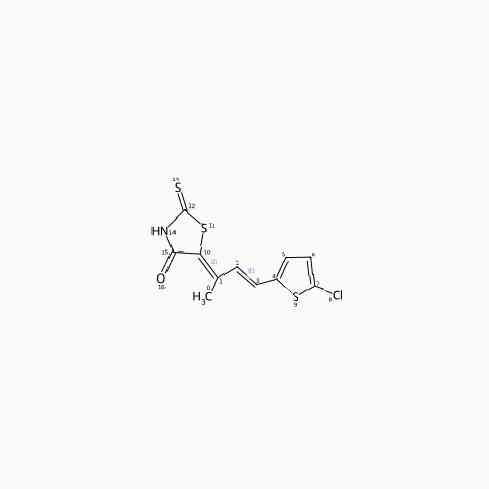 CC(/C=C/c1ccc(Cl)s1)=C1/SC(=S)NC1=O